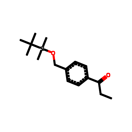 CCC(=O)c1ccc(CO[Si](C)(C)C(C)(C)C)cc1